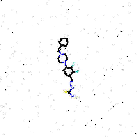 NC(=S)NN=Cc1ccc(N2CCN(Cc3ccccc3)CC2)c(F)c1F